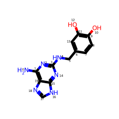 Nc1nc(NCc2ccc(O)c(O)c2)nc2[nH]cnc12